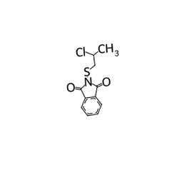 CC(Cl)CSN1C(=O)c2ccccc2C1=O